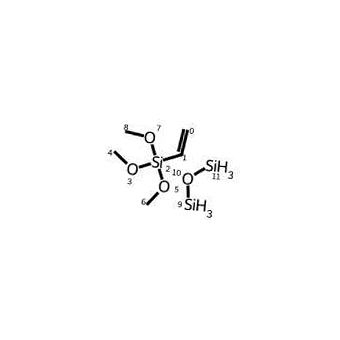 C=C[Si](OC)(OC)OC.[SiH3]O[SiH3]